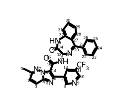 Cc1ccc2nc(-c3cncc(C(F)(F)F)c3)c(C(=O)N[C@H]3N=C(c4ccccc4)c4ccccc4NC3=O)n2n1